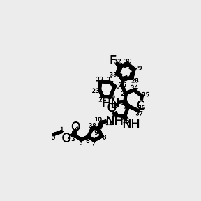 CCOC(=O)CC1CC/C(=C\NC(=O)C(=N)C2=C(NC3CCCCC3)C(Cc3cccc(F)c3)CCCC2)C1